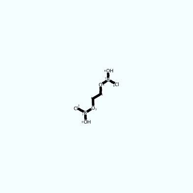 OB(Cl)OCCOB(O)Cl